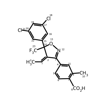 CC=C1C(c2ccc(C(=O)O)c(C)c2)=NOC1(c1cc(Cl)cc(Cl)c1)C(F)(F)F